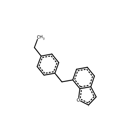 CCc1ccc(Cc2cccc3c[c]oc23)cc1